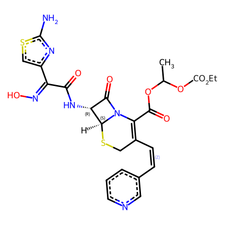 CCOC(=O)OC(C)OC(=O)C1=C(/C=C\c2cccnc2)CS[C@H]2[C@H](NC(=O)C(=NO)c3csc(N)n3)C(=O)N12